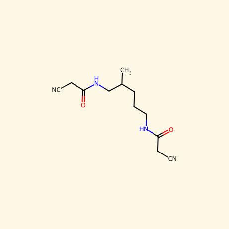 CC(CCCNC(=O)CC#N)CNC(=O)CC#N